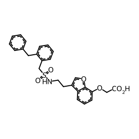 O=C(O)COc1cccc2c(CCNS(=O)(=O)Cc3ccccc3Cc3ccccc3)coc12